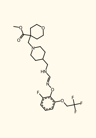 COC(=O)C1(CN2CCC(CNC=NOc3c(F)cccc3OCC(F)(F)F)CC2)CCOCC1